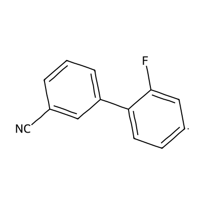 N#Cc1cccc(-c2cc[c]cc2F)c1